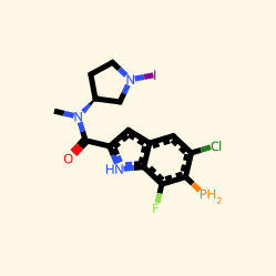 CN(C(=O)c1cc2cc(Cl)c(P)c(F)c2[nH]1)[C@H]1CCN(I)C1